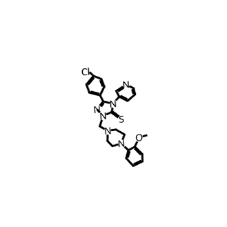 COc1ccccc1N1CCN(Cn2nc(-c3ccc(Cl)cc3)n(-c3cccnc3)c2=S)CC1